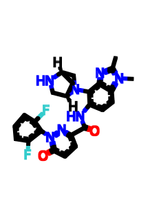 Cc1nc2c(N3C[C@@H]4C[C@H]3CN4)c(NC(=O)c3ccc(=O)n(-c4c(F)cccc4F)n3)ccc2n1C